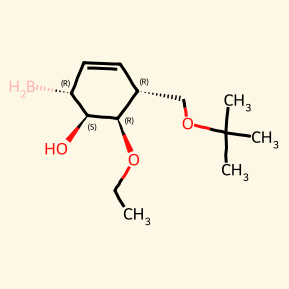 B[C@@H]1C=C[C@H](COC(C)(C)C)[C@@H](OCC)[C@H]1O